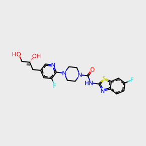 O=C(Nc1nc2ccc(F)cc2s1)N1CCN(c2ncc(C[C@@H](O)CO)cc2F)CC1